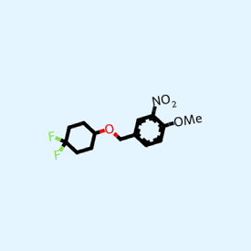 COc1ccc(COC2CCC(F)(F)CC2)cc1[N+](=O)[O-]